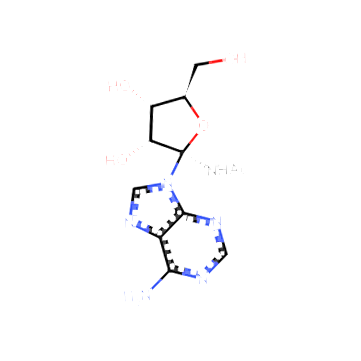 CC(=O)N[C@@]1(n2cnc3c(N)ncnc32)O[C@H](CO)[C@@H](O)[C@H]1O